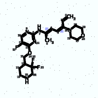 C=C/C(=C\C=C(/C)Nc1ncc(F)c(OCC2CCNCC2(F)F)n1)N1CCOCC1